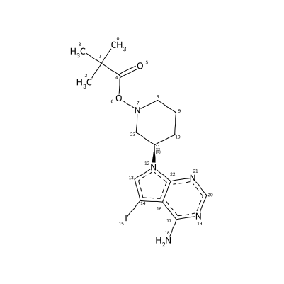 CC(C)(C)C(=O)ON1CCC[C@@H](n2cc(I)c3c(N)ncnc32)C1